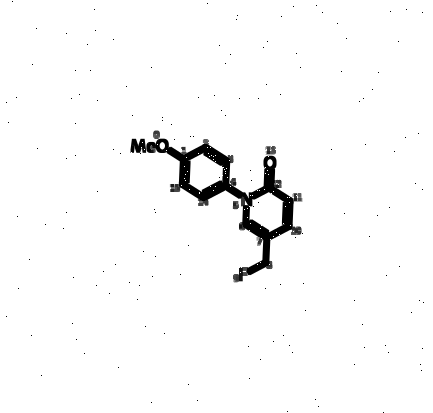 COc1ccc(-n2cc(CF)ccc2=O)cc1